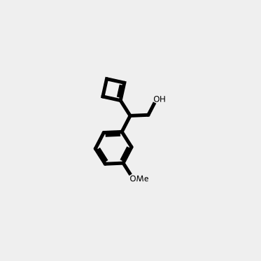 COc1cccc(C(CO)C2=CCC2)c1